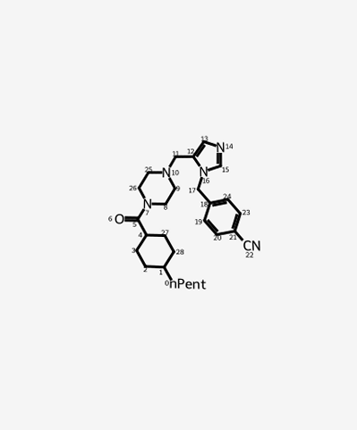 CCCCCC1CCC(C(=O)N2CCN(Cc3cncn3Cc3ccc(C#N)cc3)CC2)CC1